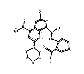 C[C@@H](Nc1ccccc1C(=O)O)c1cc(Cl)cc2c(C(N)=O)cc(N3CCOCC3)nc12